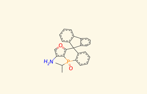 CC(C)P1(=O)c2ccccc2C2(c3ccccc3-c3ccccc32)c2occ(N)c21